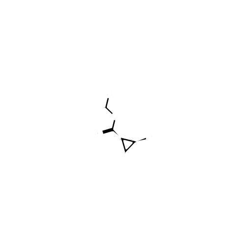 CCOC(=O)[C@@H]1C[C@@H]1I